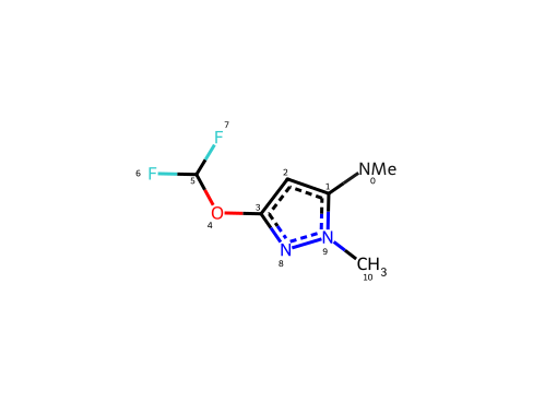 CNc1cc(OC(F)F)nn1C